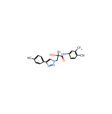 CCC(O)(Cn1cc(-c2ccc(C#N)cc2)nn1)C(=O)Nc1ccc(C#N)c(C(F)(F)F)c1